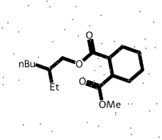 CCCCC(CC)COC(=O)C1CCCCC1C(=O)OC